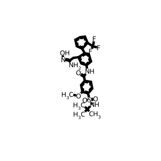 COc1cc(C(=O)Nc2ccc(-c3ccccc3C(F)(F)F)c(C/C(N)=N\O)c2)ccc1S(=O)(=O)NC(C)(C)C